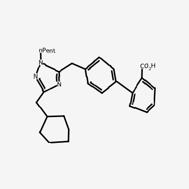 CCCCCn1nc(CC2CCCCC2)nc1Cc1ccc(-c2ccccc2C(=O)O)cc1